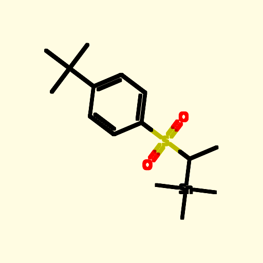 C[CH](S(=O)(=O)c1ccc(C(C)(C)C)cc1)[Sn]([CH3])([CH3])[CH3]